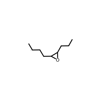 C[CH]CCC1OC1CCC